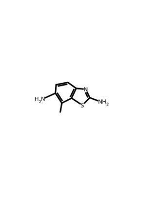 Cc1c(N)ccc2nc(N)sc12